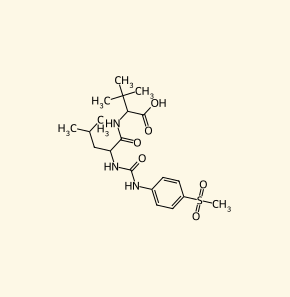 CC(C)CC(NC(=O)Nc1ccc(S(C)(=O)=O)cc1)C(=O)NC(C(=O)O)C(C)(C)C